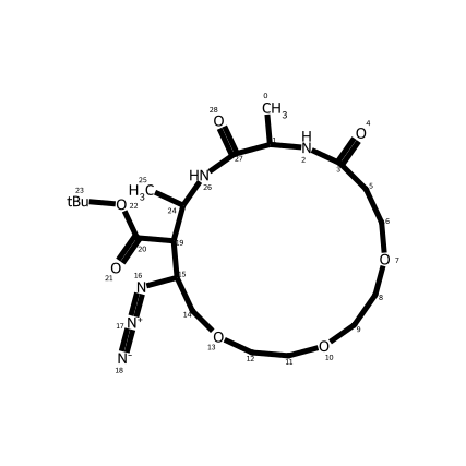 CC1NC(=O)CCOCCOCCOCC(N=[N+]=[N-])C(C(=O)OC(C)(C)C)C(C)NC1=O